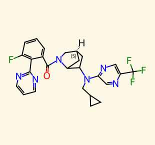 O=C(c1cccc(F)c1-c1ncccn1)N1C[C@@H]2CC1C(N(CC1CC1)c1cnc(C(F)(F)F)cn1)C2